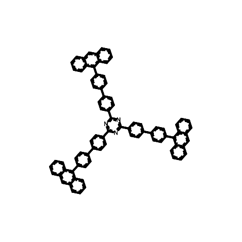 c1ccc2c(-c3ccc(-c4ccc(-c5nc(-c6ccc(-c7ccc(-c8c9ccccc9cc9ccccc89)cc7)cc6)nc(-c6ccc(-c7ccc(-c8c9ccccc9cc9ccccc89)cc7)cc6)n5)cc4)cc3)c3ccccc3cc2c1